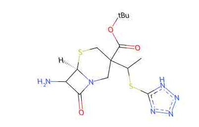 CC(Sc1nnn[nH]1)C1(C(=O)OC(C)(C)C)CS[C@@H]2C(N)C(=O)N2C1